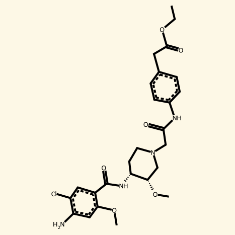 CCOC(=O)Cc1ccc(NC(=O)CN2CC[C@@H](NC(=O)c3cc(Cl)c(N)cc3OC)[C@@H](OC)C2)cc1